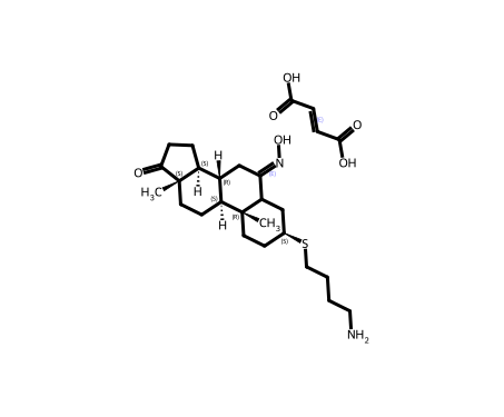 C[C@]12CC[C@H](SCCCCN)CC1/C(=N/O)C[C@@H]1[C@@H]2CC[C@]2(C)C(=O)CC[C@@H]12.O=C(O)/C=C/C(=O)O